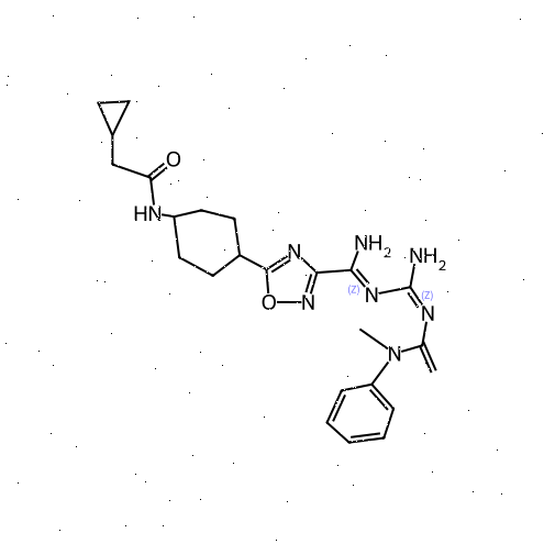 C=C(/N=C(N)\N=C(/N)c1noc(C2CCC(NC(=O)CC3CC3)CC2)n1)N(C)c1ccccc1